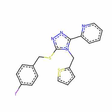 Ic1ccc(CSc2nnc(-c3ccccn3)n2Cc2cccs2)cc1